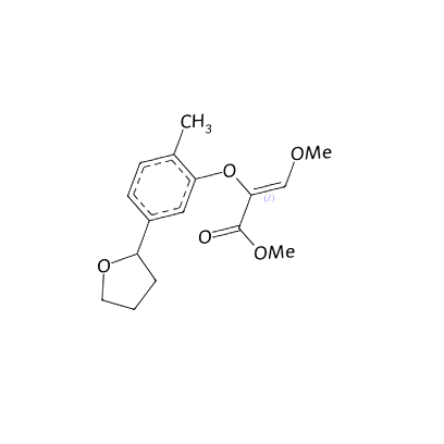 CO/C=C(\Oc1cc(C2CCCO2)ccc1C)C(=O)OC